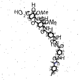 COc1c(NC(=O)c2ccc(NC(=O)c3ccc(NC(=O)CNC(=O)c4ccc(NC(=O)/C(C)=C(\C)c5ccc(F)cc5)cc4)cc3)c(OC)c2O)ccc(C(=O)O)c1O